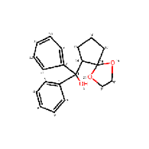 OC(c1ccccc1)(c1ccccc1)C1CCCC12OCCO2